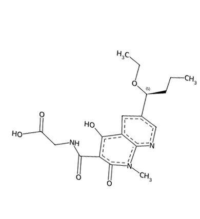 CCC[C@H](OCC)c1cnc2c(c1)c(O)c(C(=O)NCC(=O)O)c(=O)n2C